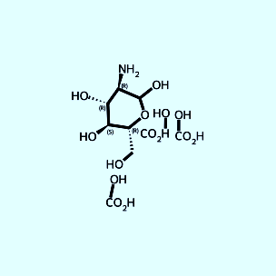 N[C@H]1C(O)O[C@H](CO)[C@@H](O)[C@@H]1O.O=C(O)O.O=C(O)O.O=C(O)O